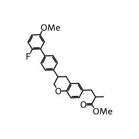 COC(=O)C(C)Cc1ccc2c(c1)CC(c1ccc(-c3cc(OC)ccc3F)cc1)CO2